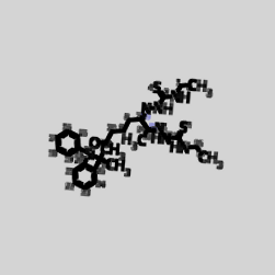 CCNC(=S)N/N=C(CCCCO[Si]1(c2ccccc2)c2ccccc2C1(C)C)\C(C)=N\NC(=S)NCC